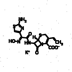 C=CC1=C(C(=O)[O-])N2C(=O)C(NC(=O)C(=NO)c3csc(N)n3)[C@@H]2SC1.[K+]